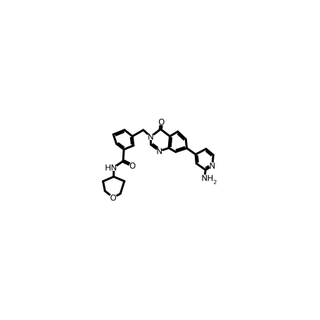 Nc1cc(-c2ccc3c(=O)n(Cc4cccc(C(=O)NC5CCOCC5)c4)cnc3c2)ccn1